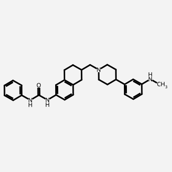 CNc1cccc(C2CCN(CC3CCc4cc(NC(=O)Nc5ccccc5)ccc4C3)CC2)c1